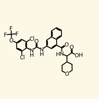 O=C(Nc1cc(C(=O)NC(C(=O)O)C2CCOCC2)c2ccccc2c1)Nc1c(Cl)cc(OC(F)(F)F)cc1Cl